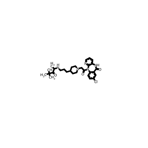 CC(NCCCC1CCN(CC(=O)N2c3ccc(Cl)cc3C(=O)Nc3cccnc32)CC1)C(=O)C(C)(C)C